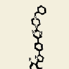 Fc1cccc(F)c1C1=NC(c2ccc(-c3cnc(N4CCN(CC5CCCCC5)CC4)nc3)cc2)CC1